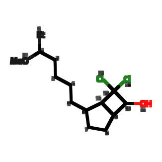 CCC(CCCCC1CCC2C(O)C(Cl)(Cl)C12)OC